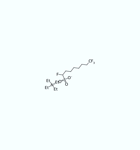 CC[N+](CC)(CC)CC.O=S(=O)([O-])C(F)CCCCCCC(F)(F)F